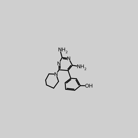 Nc1nc(N)c(-c2cccc(O)c2)c(N2CCCCC2)n1